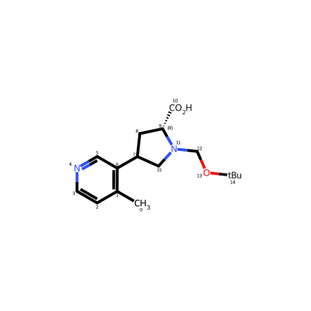 Cc1ccncc1C1C[C@H](C(=O)O)N(COC(C)(C)C)C1